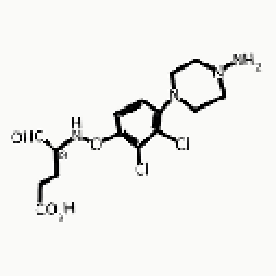 NN1CCN(c2ccc(ON[C@H](C=O)CCC(=O)O)c(Cl)c2Cl)CC1